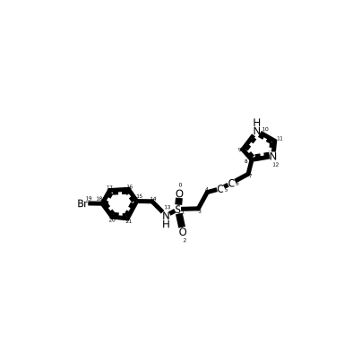 O=S(=O)(CCCCCc1c[nH]cn1)NCc1ccc(Br)cc1